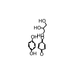 O=C1C=CC(=O)C=C1.OCC(O)CO.Oc1ccc(O)cc1